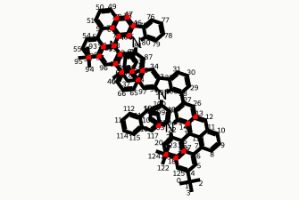 CC(C)(C)c1cc(-c2cccc3cccc(-c4ccccc4N(c4cccc(-c5cccc6c7ccc(CC(C)(C)c8cc(-c9cccc%10cccc(-c%11ccccc%11N(c%11ccc%12ccccc%12c%11)c%11cccc%12c%13ccccc%13n(-c%13ccccc%13)c%11%12)c9%10)cc(C(C)(C)C)c8)cc7n(-c7ccccc7)c56)c4)c4ccc5ccccc5c4)c23)cc(C(C)(C)C)c1